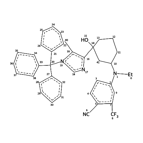 CCN(c1ccc(C#N)c(C(F)(F)F)c1)C1CCCC(O)(c2ncn(C(c3ccccc3)(c3ccccc3)c3ccccc3)c2C)C1